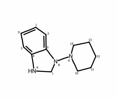 c1ccc2c(c1)NCN2N1CCCCC1